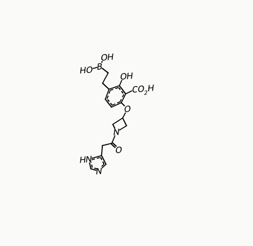 O=C(O)c1c(OC2CN(C(=O)Cc3cnc[nH]3)C2)ccc(CCB(O)O)c1O